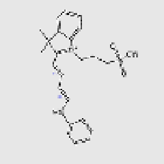 CC1(C)C(/C=C/C=C/Nc2ccccc2)=[N+](CCCS(=O)(=O)O)c2ccccc21